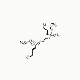 CCO[Si](C)(/C=C/CCl)OCCCO[Si](C)(/C=C/CCl)OCC